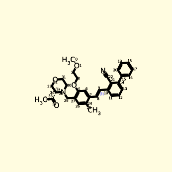 COCCOc1cc(/C=C/c2cccc(-c3ccccc3)c2C#N)c(C)cc1CN1CCOC[C@H]1C(C)=O